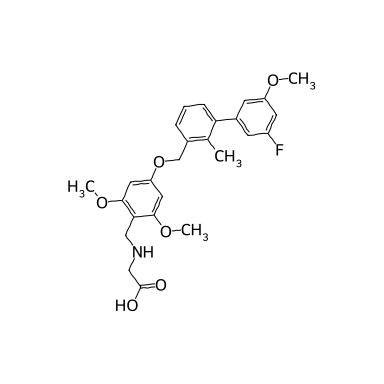 COc1cc(F)cc(-c2cccc(COc3cc(OC)c(CNCC(=O)O)c(OC)c3)c2C)c1